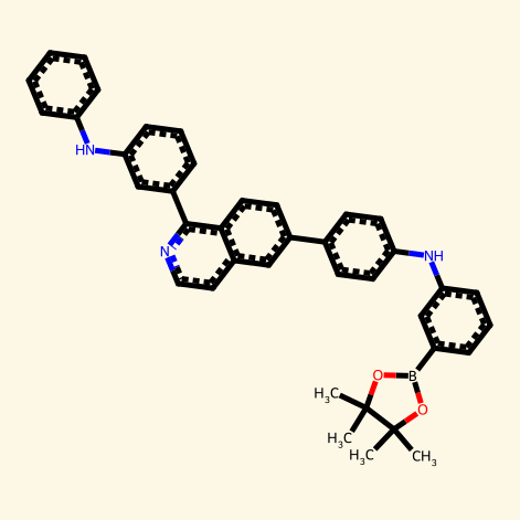 CC1(C)OB(c2cccc(Nc3ccc(-c4ccc5c(-c6cccc(Nc7ccccc7)c6)nccc5c4)cc3)c2)OC1(C)C